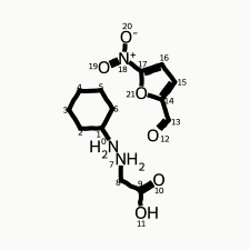 NC1CCCCC1.NCC(=O)O.O=Cc1ccc([N+](=O)[O-])o1